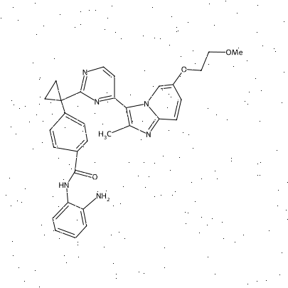 COCCOc1ccc2nc(C)c(-c3ccnc(C4(c5ccc(C(=O)Nc6ccccc6N)cc5)CC4)n3)n2c1